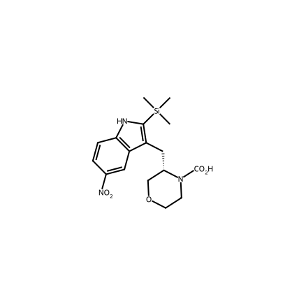 C[Si](C)(C)c1[nH]c2ccc([N+](=O)[O-])cc2c1C[C@H]1COCCN1C(=O)O